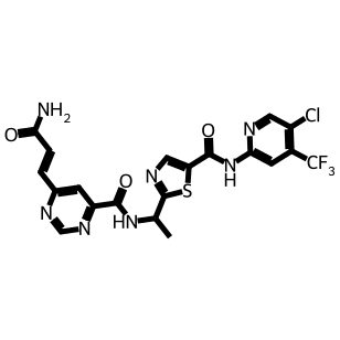 CC(NC(=O)c1cc(/C=C/C(N)=O)ncn1)c1ncc(C(=O)Nc2cc(C(F)(F)F)c(Cl)cn2)s1